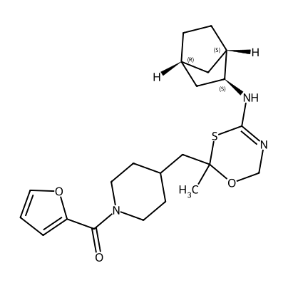 CC1(CC2CCN(C(=O)c3ccco3)CC2)OCN=C(N[C@H]2C[C@@H]3CC[C@H]2C3)S1